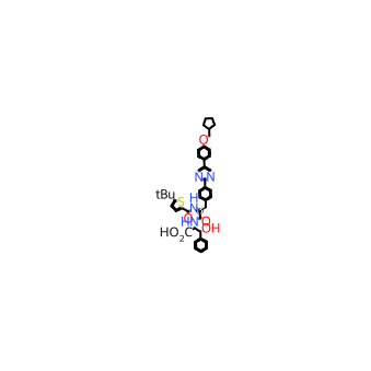 CC(C)(C)c1ccc(C(=O)N[C@@H](Cc2ccc(-c3ncc(-c4ccc(OCC5CCCC5)cc4)cn3)cc2)C(=O)NC(C(=O)O)C(O)c2ccccc2)s1